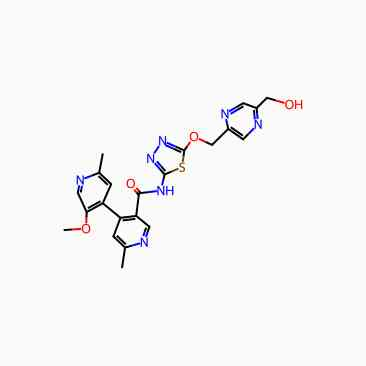 COc1cnc(C)cc1-c1cc(C)ncc1C(=O)Nc1nnc(OCc2cnc(CO)cn2)s1